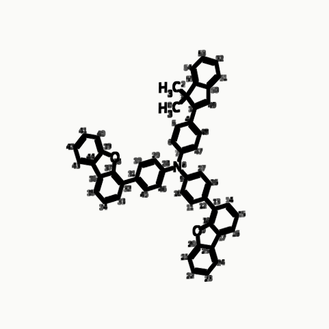 CC1(C)C(c2ccc(N(c3ccc(-c4cccc5c4oc4ccccc45)cc3)c3ccc(-c4cccc5c4oc4ccccc45)cc3)cc2)=Cc2ccccc21